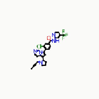 CC#CCN1CCCC1c1cc(-c2ccc(C(=O)Nc3cc(C(F)(F)F)ccn3)cc2Cl)n2cnccc12